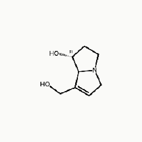 OCC1=CCN2CC[C@@H](O)C12